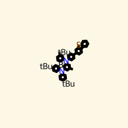 Cc1cc2c3c(c1)N(c1ccc(-c4ccc5c(c4)sc4ccccc45)cc1)c1cc(C(C)(C)C)ccc1B3c1cc(C(C)(C)C)ccc1N2c1ccc(C(C)(C)C)cc1